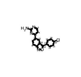 Nc1nccc(-c2ccc3noc(-c4ccc(Cl)cc4)c3c2)n1